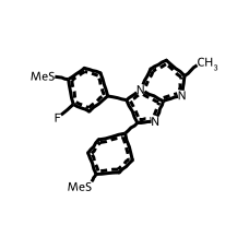 CSc1ccc(-c2nc3nc(C)ccn3c2-c2ccc(SC)c(F)c2)cc1